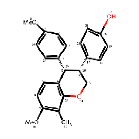 COc1ccc([C@H]2c3ccc(OC)c(C)c3OC[C@H]2c2ccc(O)cc2)cc1